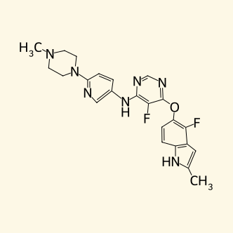 Cc1cc2c(F)c(Oc3ncnc(Nc4ccc(N5CCN(C)CC5)nc4)c3F)ccc2[nH]1